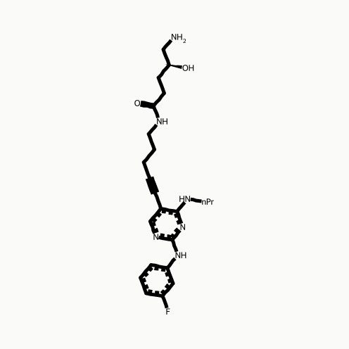 CCCNc1nc(Nc2cccc(F)c2)ncc1C#CCCCNC(=O)CC[C@H](O)CN